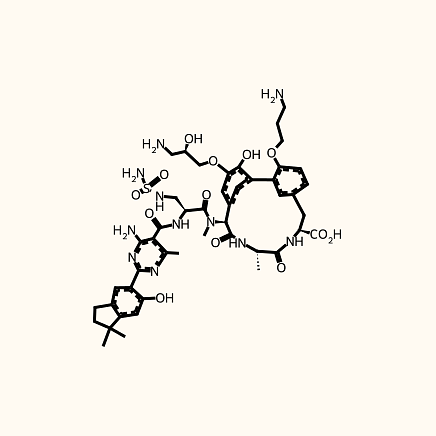 Cc1nc(-c2cc3c(cc2O)C(C)(C)CC3)nc(N)c1C(=O)N[C@@H](CNS(N)(=O)=O)C(=O)N(C)[C@@H]1C(=O)N[C@@H](C)C(=O)N[C@H](C(=O)O)Cc2ccc(OCCCN)c(c2)-c2cc1cc(OC[C@H](O)CN)c2O